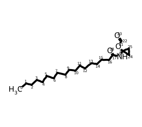 CCCCCCCCCCCCCCCCCC(=O)NC1(OC=O)CC1